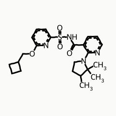 CC1CCN(c2ncccc2C(=O)NS(=O)(=O)c2cccc(OCC3CCC3)n2)C1(C)C